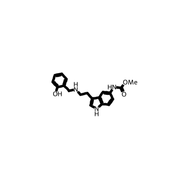 COC(=O)Nc1ccc2[nH]cc(CCNCc3ccccc3O)c2c1